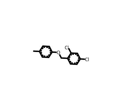 Cc1ccc(OCc2ccc(Cl)cc2Cl)cc1